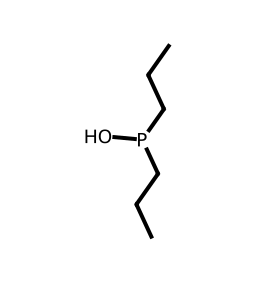 CCCP(O)CCC